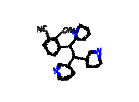 COc1c(C#N)cccc1C(c1ccccn1)C(c1cccnc1)c1cccnc1